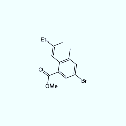 CC/C(C)=C/c1c(C)cc(Br)cc1C(=O)OC